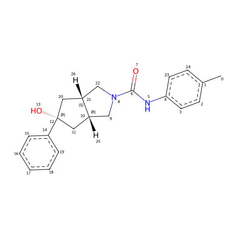 Cc1ccc(NC(=O)N2C[C@@H]3C[C@@](O)(c4ccccc4)C[C@@H]3C2)cc1